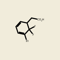 CCC1=CC=CC(CC(=O)O)C1(F)F